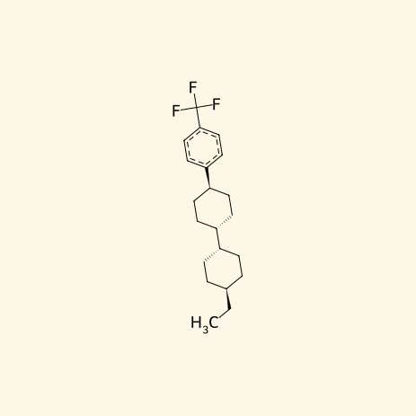 CC[C@H]1CC[C@H]([C@H]2CC[C@H](c3ccc(C(F)(F)F)cc3)CC2)CC1